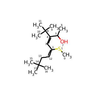 CSC(/C=C(\C(C)O)C(C)(C)C)=C/CC(C)(C)C